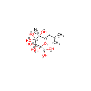 CC(C)CC1OC(O)(C(O)O)C(O)(O)C(O)(O)C1(C)O